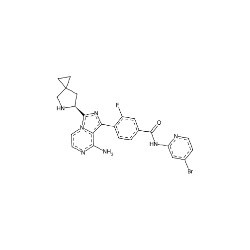 Nc1nccn2c([C@@H]3CC4(CC4)CN3)nc(-c3ccc(C(=O)Nc4cc(Br)ccn4)cc3F)c12